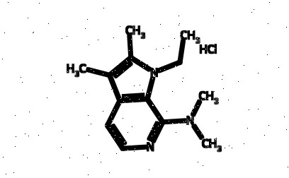 CCn1c(C)c(C)c2ccnc(N(C)C)c21.Cl